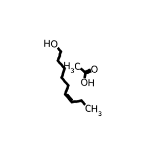 CC(=O)O.CC/C=C\CCCCCO